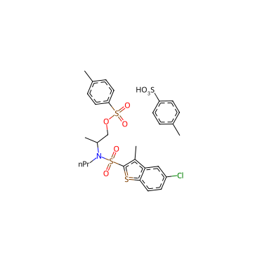 CCCN(C(C)COS(=O)(=O)c1ccc(C)cc1)S(=O)(=O)c1sc2ccc(Cl)cc2c1C.Cc1ccc(S(=O)(=O)O)cc1